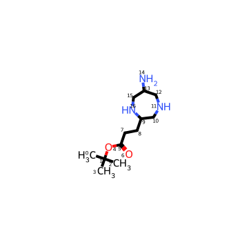 CC(C)(C)OC(=O)CCC1CNCC(N)CN1